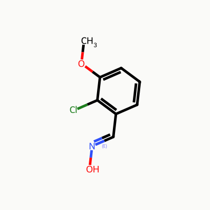 COc1cccc(/C=N/O)c1Cl